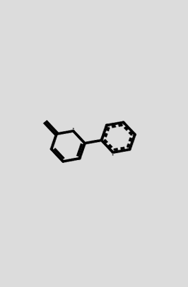 C=C1[CH]C(c2[c]cccc2)=CC=C1